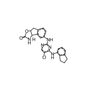 O=C1N[C@@H]2c3cc(Nc4ncc(Cl)c(Nc5cccc6c5CCC6)n4)ccc3CC2O1